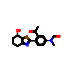 CC(=O)c1cc(N(C)C=O)ccc1-c1nc2c(s1)C(O)CCC2